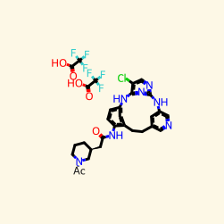 CC(=O)N1CCC[C@@H](CC(=O)Nc2ccc3cc2CCc2cncc(c2)Nc2ncc(Cl)c(n2)N3)C1.O=C(O)C(F)(F)F.O=C(O)C(F)(F)F